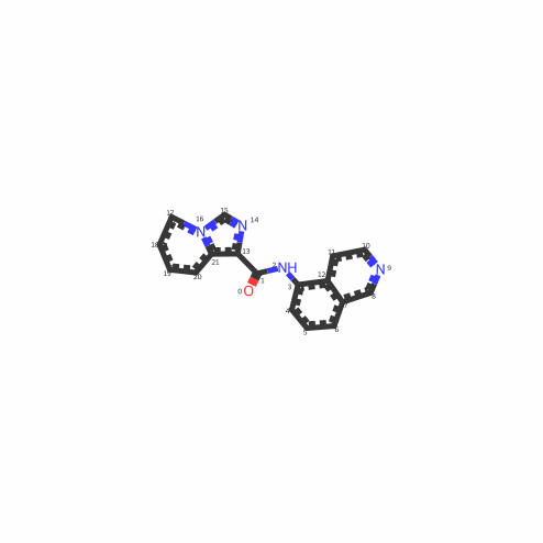 O=C(Nc1cccc2cnccc12)c1ncn2ccccc12